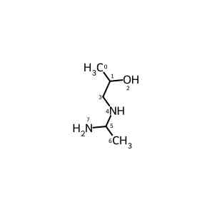 CC(O)CNC(C)N